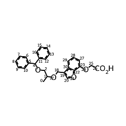 CC(COC(c1ccccc1)c1ccccc1)OCc1coc2c(OCC(=O)O)cccc12